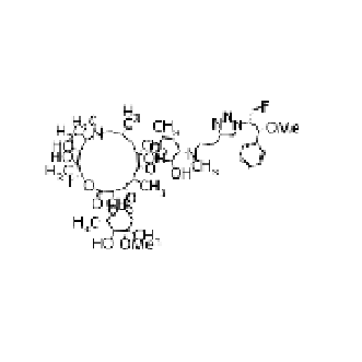 CO[C@H](c1ccccc1)[C@@H](CF)n1cc(CCN(C)[C@H]2C[C@@H](C)O[C@@H](O[C@@H]3[C@@H](C)[C@H](O[C@H]4C[C@@](C)(OC)[C@@H](O)[C@H](C)O4)[C@@H](C)C(=O)O[C@H](I)[C@@](C)(O)[C@H](O)[C@@H](C)N(C)C[C@H](C)C[C@@]3(C)O)[C@@H]2O)nn1